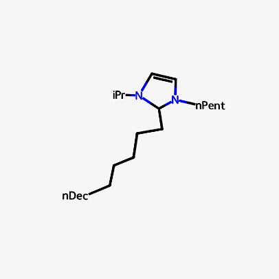 CCCCCCCCCCCCCCCC1N(CCCCC)C=CN1C(C)C